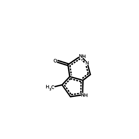 Cc1c[nH]c2cn[nH]c(=O)c12